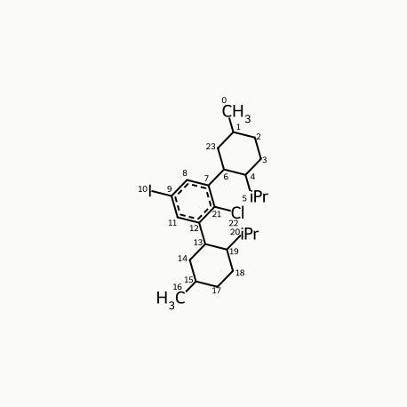 CC1CCC(C(C)C)C(c2cc(I)cc(C3CC(C)CCC3C(C)C)c2Cl)C1